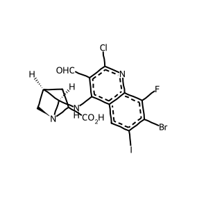 O=Cc1c(Cl)nc2c(F)c(Br)c(I)cc2c1N[C@@H]1[C@@H]2CC(C(=O)O)[N@@]1C2